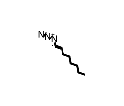 CCCCCCC=[C]N=[N+]=[N-]